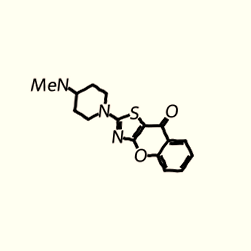 CNC1CCN(c2nc3oc4ccccc4c(=O)c3s2)CC1